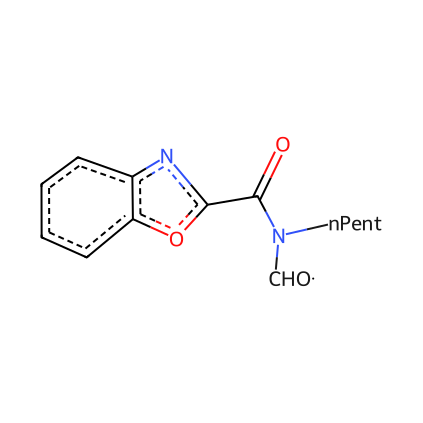 CCCCCN([C]=O)C(=O)c1nc2ccccc2o1